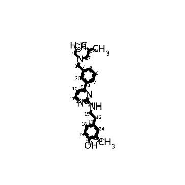 CCN(Cc1cccc(-c2ccnc(NCCc3ccc(O)c(C)c3)n2)c1)CC(C)C